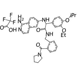 CCOc1cc(C(Nc2ccc3c(N)nccc3c2)C(=O)NCc2ccccc2C(=O)N2CCCC2)ccc1OC(C)C.O=C(O)C(F)(F)F